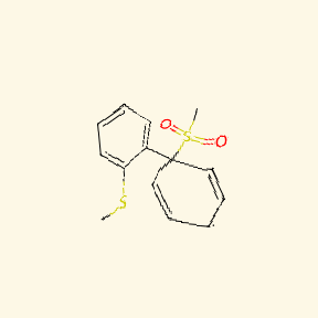 CSc1ccccc1C1(S(C)(=O)=O)C=C[CH]C=C1